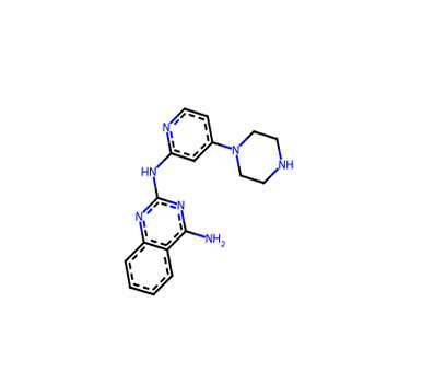 Nc1nc(Nc2cc(N3CCNCC3)ccn2)nc2ccccc12